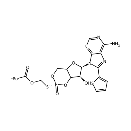 CC(C)(C)C(=O)OCS[P@]1(=O)OCC2O[C@@H](n3c(-c4cccs4)nc4c(N)ncnc43)[C@@H](O)C2O1